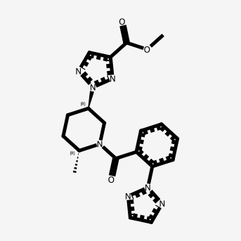 COC(=O)c1cnn([C@@H]2CC[C@@H](C)N(C(=O)c3ccccc3-n3nccn3)C2)n1